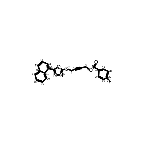 O=C(OCC#CCSc1nnc(-c2cccc3ccccc23)o1)c1ccc(F)cc1